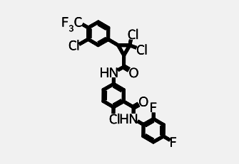 O=C(Nc1ccc(F)cc1F)c1cc(NC(=O)C2C(c3ccc(C(F)(F)F)c(Cl)c3)C2(Cl)Cl)ccc1Cl